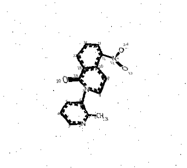 Cc1ncccc1-n1ccc2c([N+](=O)[O-])cccc2c1=O